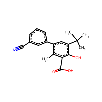 Cc1c(-c2cccc(C#N)c2)cc(C(C)(C)C)c(O)c1C(=O)O